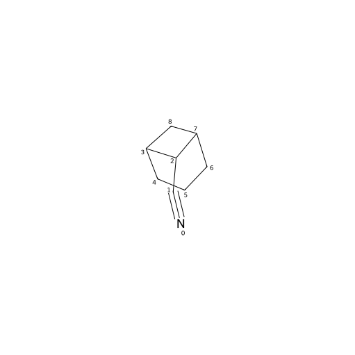 N#CC1C2CCCC1C2